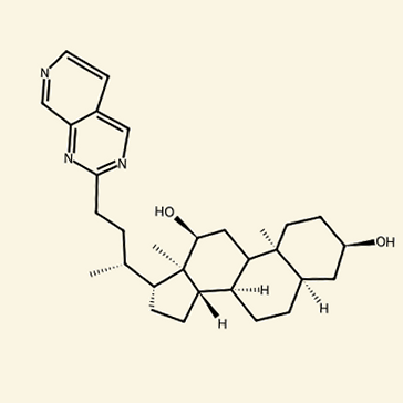 C[C@H](CCc1ncc2ccncc2n1)[C@H]1CC[C@H]2[C@@H]3CC[C@@H]4C[C@H](O)CC[C@]4(C)C3C[C@H](O)[C@]12C